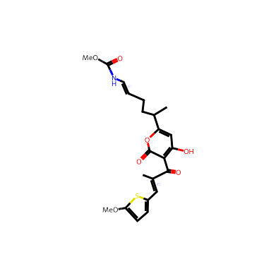 COC(=O)N/C=C/CCC(C)c1cc(O)c(C(=O)/C(C)=C/c2ccc(OC)s2)c(=O)o1